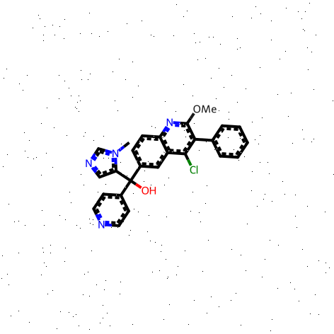 COc1nc2ccc(C(O)(c3ccncc3)c3cncn3C)cc2c(Cl)c1-c1ccccc1